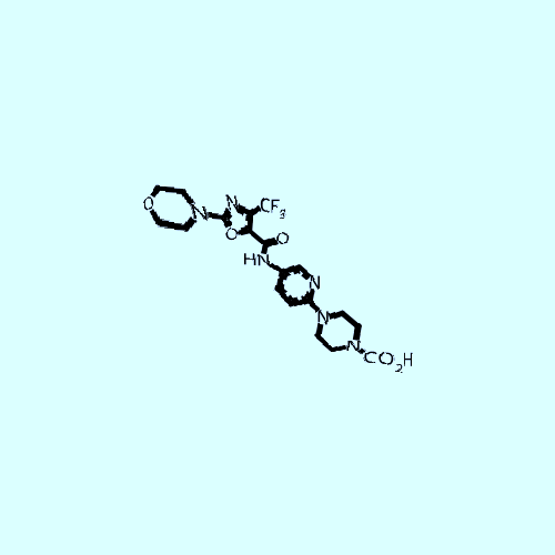 O=C(Nc1ccc(N2CCN(C(=O)O)CC2)nc1)c1oc(N2CCOCC2)nc1C(F)(F)F